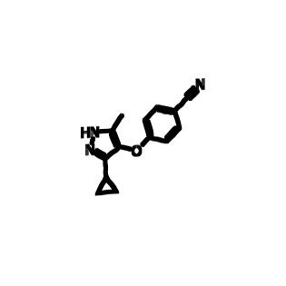 Cc1[nH]nc(C2CC2)c1Oc1ccc(C#N)cc1